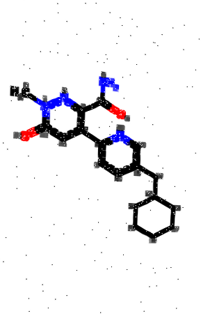 Cn1nc(C(N)=O)c(-c2ccc(CC3CCCCC3)cn2)cc1=O